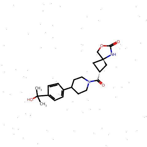 CC(C)(O)c1ccc(C2CCN(C(=O)[C@H]3C[C@]4(COC(=O)N4)C3)CC2)cc1